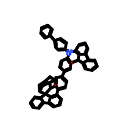 CC12c3ccccc3-c3cccc(c31)N(c1ccc(-c3ccccc3)cc1)c1ccc(-c3ccc(-c4cccc5c4C4(c6ccccc6-5)C5CC6CC(C5)CC4C6)cc3)cc12